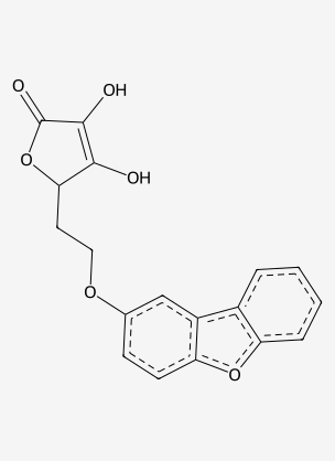 O=C1OC(CCOc2ccc3oc4ccccc4c3c2)C(O)=C1O